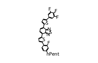 CCCCCc1ccc(-c2ccc(-c3ccc(-c4ccc(-c5cc(F)c(F)c(F)c5)s4)c4nsnc34)s2)c(F)c1